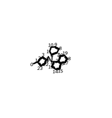 Cc1ccc(N(C2=CC=CCC2)c2cccc3ccccc23)cc1